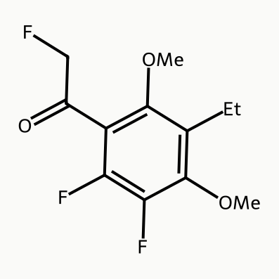 CCc1c(OC)c(F)c(F)c(C(=O)CF)c1OC